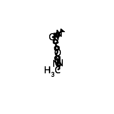 CCc1cnc(N2CCC(COc3ccc(C4=CCC(C(=O)N5CCN(C6CC6)CC5)CC4)cc3)CC2)nc1